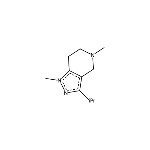 CC(C)c1nn(C)c2c1CN(C)CC2